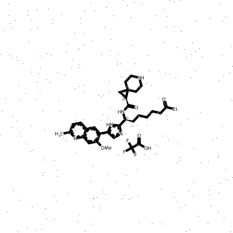 CCC(=O)CCCCC[C@H](NC(=O)[C@H]1CC12CCNCC2)c1ncc(-c2cc3ccc(C)nc3cc2OC)[nH]1.O=C(O)C(F)(F)F